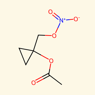 CC(=O)OC1(CO[N+](=O)[O-])CC1